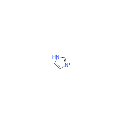 [C]1=C[N+]=CN1